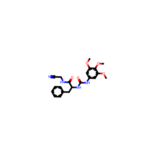 COc1cc(NC(=O)NC(Cc2ccccc2)C(=O)NCC#N)cc(OC)c1OC